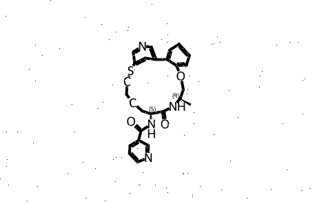 C[C@@H]1COc2ccccc2-c2cncc(c2)SCCCC[C@H](NC(=O)c2cccnc2)C(=O)N1